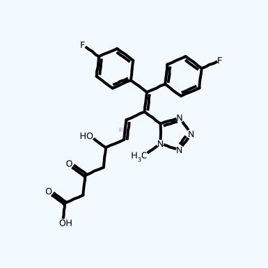 Cn1nnnc1C(/C=C/C(O)CC(=O)CC(=O)O)=C(c1ccc(F)cc1)c1ccc(F)cc1